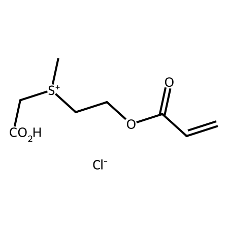 C=CC(=O)OCC[S+](C)CC(=O)O.[Cl-]